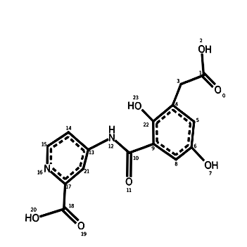 O=C(O)Cc1cc(O)cc(C(=O)Nc2ccnc(C(=O)O)c2)c1O